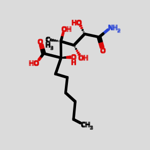 CCCCCC[C@](O)(C(=O)O)[C@@](C)(O)[C@@H](O)[C@H](O)C(N)=O